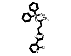 CC(C)(C)[Si](OC(CCc1ncc(-c2cccnc2Cl)o1)C(F)(F)F)(c1ccccc1)c1ccccc1